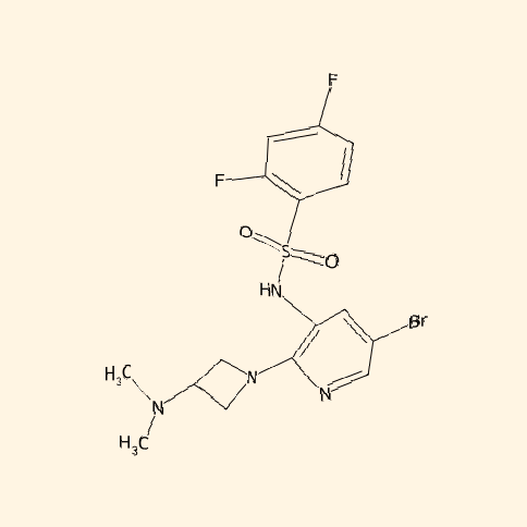 CN(C)C1CN(c2ncc(Br)cc2NS(=O)(=O)c2ccc(F)cc2F)C1